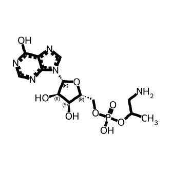 CC(CN)OP(=O)(O)OC[C@H]1O[C@@H](n2cnc3c(O)ncnc32)[C@H](O)[C@@H]1O